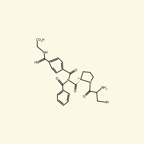 CC(C)CC(N)C(=O)N1CCC[C@H]1C(=O)N(C(=O)c1ccccc1)C(=O)c1ccc(C(=N)NCC(=O)O)cc1